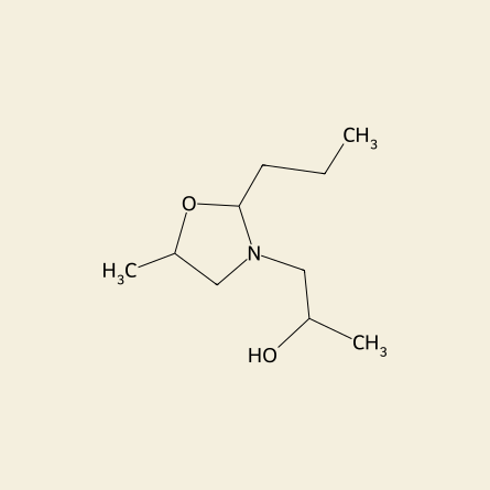 CCCC1OC(C)CN1CC(C)O